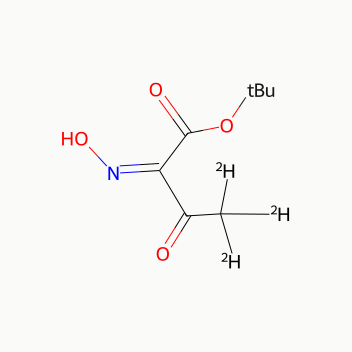 [2H]C([2H])([2H])C(=O)/C(=N/O)C(=O)OC(C)(C)C